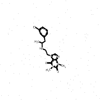 CC(Cc1cccc(Cl)c1)NCCn1cnc2c1c(=O)n(C)c(=O)n2C